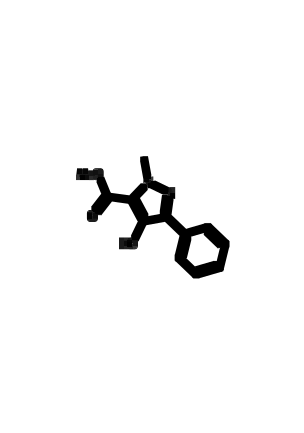 COC(=O)c1c(O)c(-c2ccccc2)nn1C